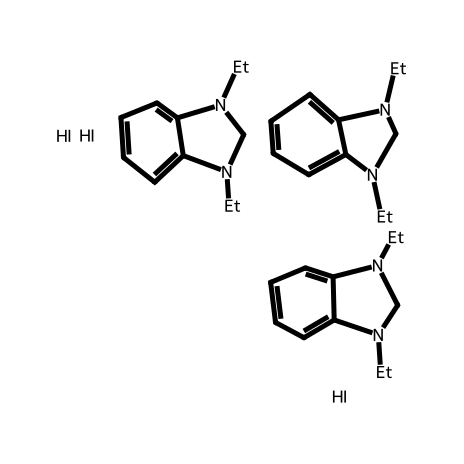 CCN1CN(CC)c2ccccc21.CCN1CN(CC)c2ccccc21.CCN1CN(CC)c2ccccc21.I.I.I